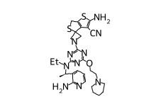 CCN(c1nc(OCCN2CCCCC2)nc(N2CC3(C2)SCc2sc(N)c(C#N)c23)n1)[C@H](C)c1cccnc1N